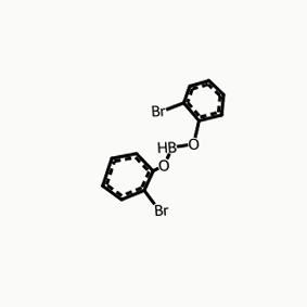 Brc1ccccc1OBOc1ccccc1Br